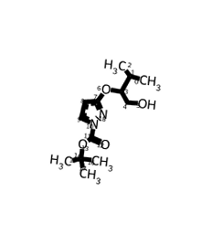 CC(C)C(CO)Oc1ccn(C(=O)OC(C)(C)C)n1